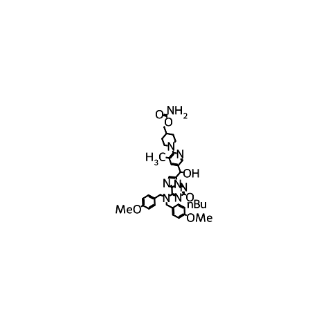 CCCCOc1nc(N(Cc2ccc(OC)cc2)Cc2ccc(OC)cc2)c2ncc(C(O)c3cnc(N4CCC(COC(N)=O)CC4)c(C)c3)n2n1